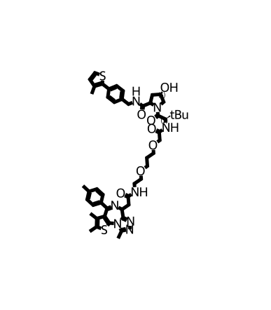 Cc1ccc(C2=NC(CC(=O)NCCOCCCOCC(=O)N[C@H](C(=O)N3C[C@@H](O)CC3C(=O)NCc3ccc(-c4sccc4C)cc3)C(C)(C)C)c3nnc(C)n3-c3sc(C)c(C)c32)cc1